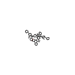 CC1(C)c2cc(N(C3=CCC(c4ccccc4)C=C3)c3ccccc3F)c3c(c2-c2c4c(c5ccccc5c21)C=CCC4)C1C=C(N(C2=CC=CCC2F)c2ccc(-c4ccccc4)cc2)C=CC1O3